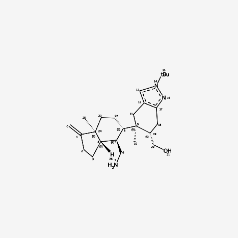 C=C1CC[C@H]2[C@H](CN)[C@@H]([C@@]3(C)Cc4cn(C(C)(C)C)nc4C[C@@H]3CO)CC[C@]12C